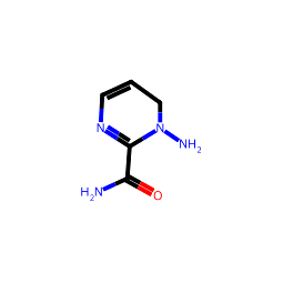 NC(=O)C1=NC=CCN1N